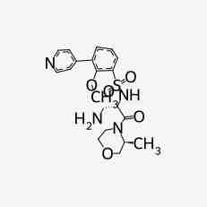 COc1c(-c2ccncc2)cccc1S(=O)(=O)N[C@@H](CN)C(=O)N1CCOC[C@@H]1C